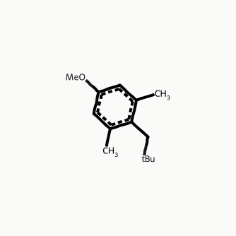 COc1cc(C)c(CC(C)(C)C)c(C)c1